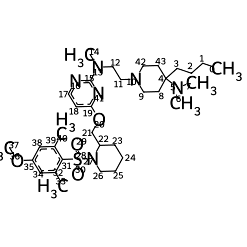 CCCCC1(N(C)C)CCN(CCN(C)c2nccc(OCC3CCCCN3S(=O)(=O)c3c(C)cc(OC)cc3C)n2)CC1